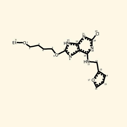 CCOCCCCOc1nc2c(NCc3ccco3)nc(Cl)nc2[nH]1